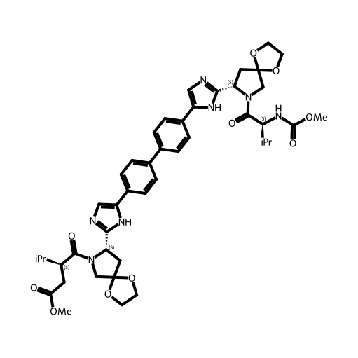 COC(=O)C[C@H](C(=O)N1CC2(C[C@H]1c1ncc(-c3ccc(-c4ccc(-c5cnc([C@@H]6CC7(CN6C(=O)[C@@H](NC(=O)OC)C(C)C)OCCO7)[nH]5)cc4)cc3)[nH]1)OCCO2)C(C)C